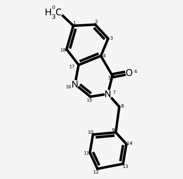 Cc1ccc2c(=O)n(Cc3ccccc3)cnc2c1